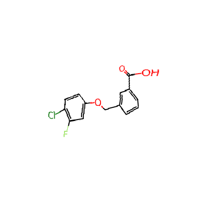 O=C(O)c1cccc(COc2ccc(Cl)c(F)c2)c1